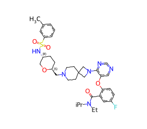 CCN(C(=O)c1cc(F)ccc1Oc1cncnc1N1CC2(CCN(C[C@@H]3CC[C@@H](NS(=O)(=O)c4cccc(C)c4)CO3)CC2)C1)C(C)C